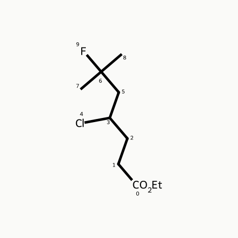 CCOC(=O)CCC(Cl)CC(C)(C)F